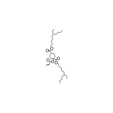 C=CC(=O)OC1(C(=O)OCCCCCC(CC)CCCC)CCC(C(=O)OCCCCCC(CC)CCCC)CC1